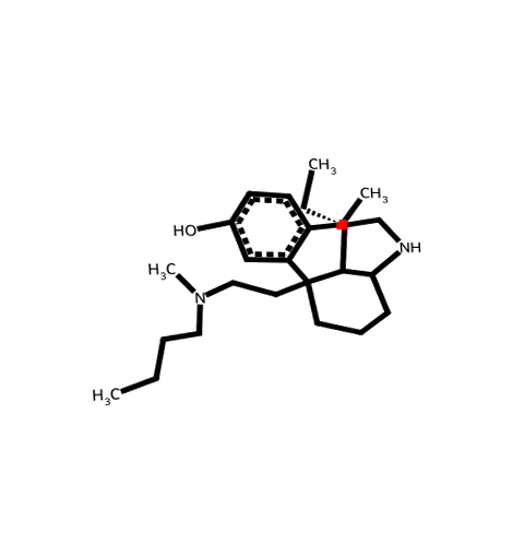 CCCCN(C)CCC1(c2cc(O)ccc2CC)CCCC2NC[C@@H](CC)C21